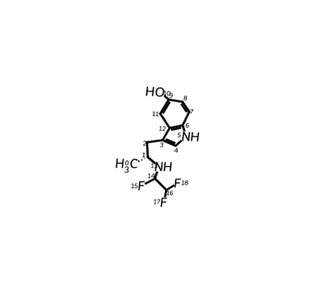 C[C@H](Cc1c[nH]c2ccc(O)cc12)NC(F)C(F)F